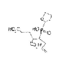 C=CCC(C(CCC(=O)O)C(=O)O)P(=O)(O)C1CCCO1